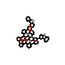 c1ccc(-c2cccc(-c3ccccc3)c2N2c3ccc(-c4ccc5sc6ccccc6c5c4)cc3B3c4ccc(-c5ccc6oc7ccccc7c6c5)cc4N(c4c(-c5ccccc5)cccc4-c4ccccc4)c4cc(-n5c6ccccc6c6ccccc65)cc2c43)cc1